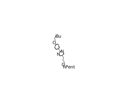 CCCCCOCCCc1cnc(-c2ccc(OCCC(C)CC)cc2)nc1